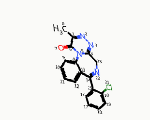 Cc1nnc2n(c1=O)-c1ccccc1C(c1ccccc1Cl)=NC2